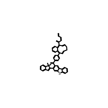 C=C/C=C\C(=C)C1=c2\cccc\c2=C(c2ccc(C(=C)c3cc4c(cc3C3=Cc5ccccc5C3(C)C)sc3ccccc34)cc2)\C=C\CC\C=C\1